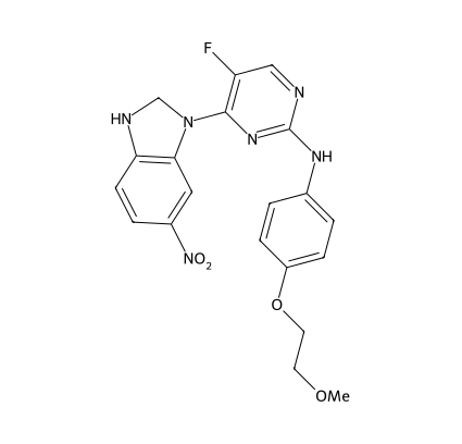 COCCOc1ccc(Nc2ncc(F)c(N3CNc4ccc([N+](=O)[O-])cc43)n2)cc1